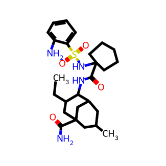 CCC1CC2(C(N)=O)CC(C)CC(C2)C1NC(=O)C1(NS(=O)(=O)c2ccccc2N)CCCCC1